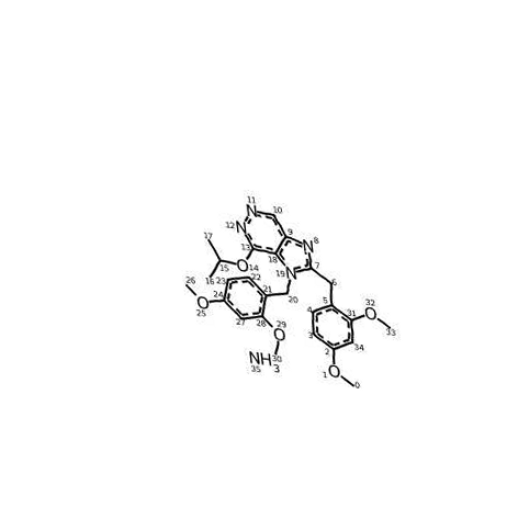 COc1ccc(Cc2nc3cnnc(OC(C)C)c3n2Cc2ccc(OC)cc2OC)c(OC)c1.N